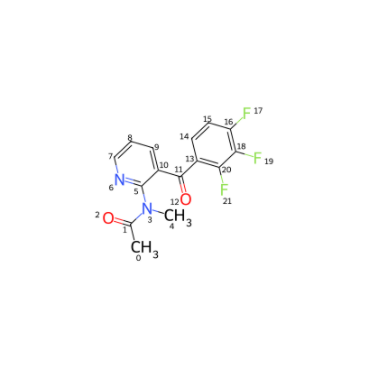 CC(=O)N(C)c1ncccc1C(=O)c1ccc(F)c(F)c1F